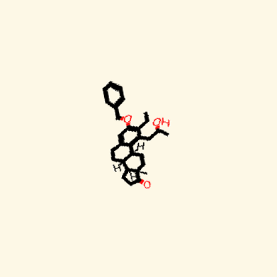 CCc1c(OCc2ccccc2)cc2c(c1CC(C)O)[C@H]1CC[C@]3(C)C(=O)CC[C@H]3[C@@H]1CC2